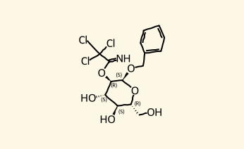 N=C(O[C@H]1[C@@H](OCc2ccccc2)O[C@H](CO)[C@@H](O)[C@@H]1O)C(Cl)(Cl)Cl